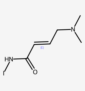 CN(C)C/C=C/C(=O)NI